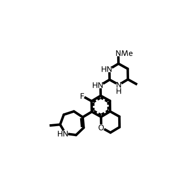 CNC1CC(C)NC(Nc2cc3c(c(C4=CCNC(C)CC4)c2F)OCCC3)N1